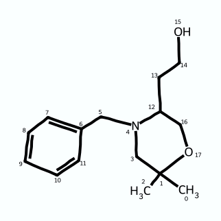 CC1(C)CN(Cc2ccccc2)C(CCO)CO1